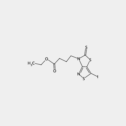 CCOC(=O)CCCn1c(=S)sc2c(I)snc21